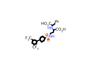 CC(C)CC(NC(CCNS(=O)(=O)c1ccc(-c2cc(C(F)(F)F)cc(C(F)(F)F)c2)cc1)C(=O)O)C(=O)O